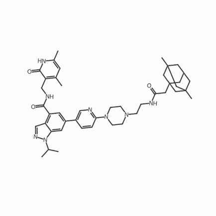 Cc1cc(C)c(CNC(=O)c2cc(-c3ccc(N4CCN(CCNC(=O)CC56CC7CC(C)(CC(C)(C7)C5)C6)CC4)nc3)cc3c2cnn3C(C)C)c(=O)[nH]1